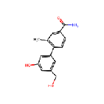 Cc1cc(C(N)=O)ccc1-c1cc(O)cc(CO)c1